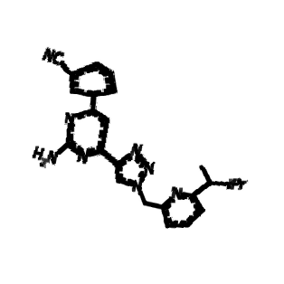 CC(C)C(C)c1cccc(Cn2cc(-c3cc(-c4cccc(C#N)c4)nc(N)n3)nn2)n1